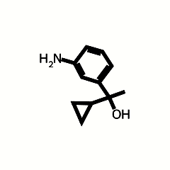 CC(O)(c1cccc(N)c1)C1CC1